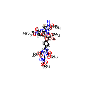 CC(C)(C)OC(=O)NCCN(C(=O)OC(C)(C)C)C1=NC(c2ccc(OCC(O/N=C(\C(=O)NC3C(=O)N(OS(=O)(=O)O)C3(C)C)c3csc(NC(=O)OC(C)(C)C)n3)C(=O)OC(C)(C)C)cc2)CN1C(=O)OC(C)(C)C